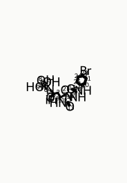 CC(C)C1(CC(=O)NCP(=O)(O)O)NC(=O)N(NC(=O)Nc2ccc(Br)cc2)C1=O